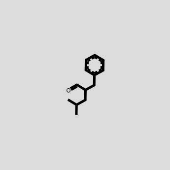 CC(C)CC(C=O)Cc1ccccc1